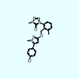 Cc1cccc(-n2nnn(C)c2=O)c1COc1cc(-c2ccc(Cl)cc2)n(C)n1